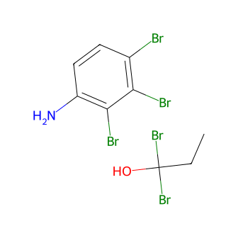 CCC(O)(Br)Br.Nc1ccc(Br)c(Br)c1Br